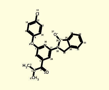 CN(C)C(=O)c1cc(Oc2ccc(Cl)cc2)nc(N2Cc3ccccc3[S+]2[O-])c1